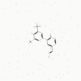 COc1ccc(C=NO)cc1-c1cc(C(C)(C)C)c(O)c(C(C)(C)C)c1